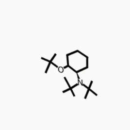 CC(C)(C)OC1CCCC[C@H]1N(C(C)(C)C)C(C)(C)C